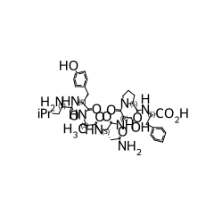 CC(C)C[C@H](N)C(=O)N[C@@H](Cc1ccc(O)cc1)C(=O)N[C@@H](C)C(=O)N[C@@H](CC(N)=O)C(=O)N[C@H](CO)C(=O)N1CCC[C@H]1C(=O)N[C@@H](Cc1ccccc1)C(=O)O